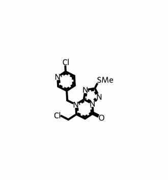 CSc1nc2n(Cc3ccc(Cl)nc3)c(CCl)cc(=O)n2n1